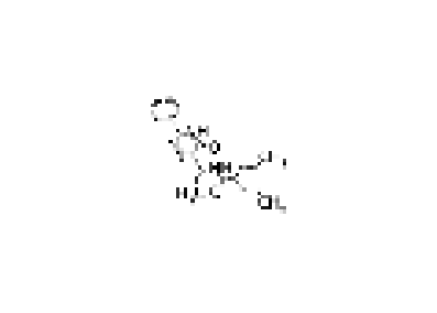 CCCC(CCC)C(=O)NC(CC)c1nnc(-c2ccccc2)[nH]c1=O